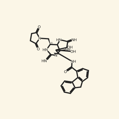 N=C1NC2[C@H](CN3C(=O)CCC3=O)NC(=N)N3CC(NC(=O)c4cccc5c4-c4ccccc4C5)C(O)(O)C23N1